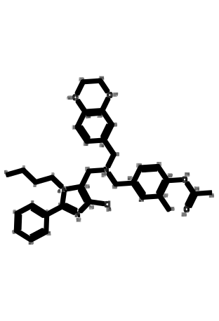 CCCCn1c(-c2ccccc2)nc(Cl)c1CN(Cc1ccc(OC(C)=O)c(C)c1)Cc1ccc2c(c1)OCCO2